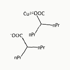 CCCC(CCC)C(=O)[O-].CCCC(CCC)C(=O)[O-].[Cu+2]